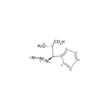 CC(=O)O[C@H](C(=O)O)[C@H](N=[N+]=[N-])c1ccccc1